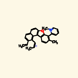 C=Cc1ccc2ccc3oc4c(-c5cccc[n+]5C)c(C)ccc4c3c2c1/C=C\C